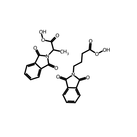 CC(C(=O)OO)N1C(=O)c2ccccc2C1=O.O=C(CCCN1C(=O)c2ccccc2C1=O)OO